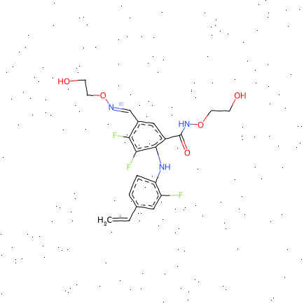 C=Cc1ccc(Nc2c(C(=O)NOCCO)cc(/C=N/OCCO)c(F)c2F)c(F)c1